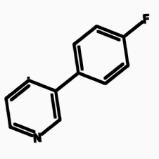 Fc1ccc(-c2[c]ccnc2)cc1